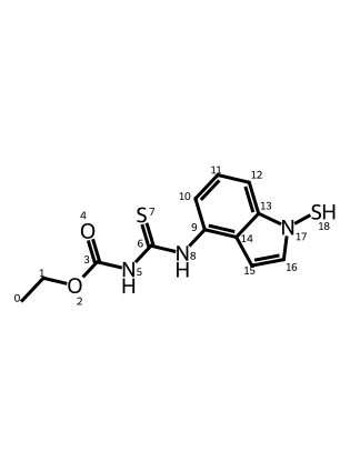 CCOC(=O)NC(=S)Nc1cccc2c1ccn2S